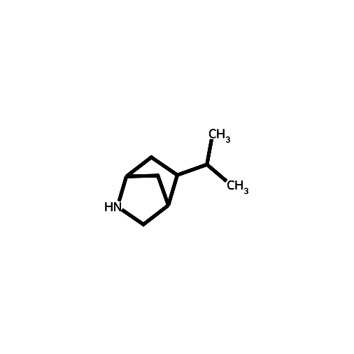 CC(C)C1CC2CC1CN2